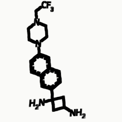 NC1CC(N)(c2ccc3cc(N4CCN(CC(F)(F)F)CC4)ccc3c2)C1